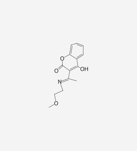 COCC/N=C(\C)c1c(O)c2ccccc2oc1=O